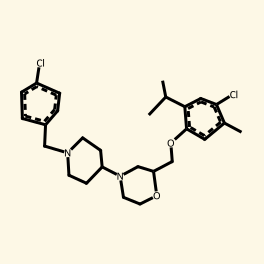 Cc1cc(OCC2CN(C3CCN(Cc4ccc(Cl)cc4)CC3)CCO2)c(C(C)C)cc1Cl